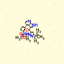 Cn1nc(C(C)(C)C)cc1C(=O)c1c[nH]c2nccc(-c3cccc(NS(C)(=O)=O)c3)c12